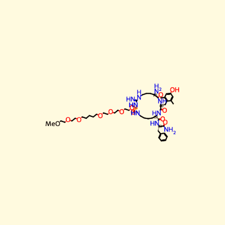 COCCOCCOCCCCCOCCOCCOCCOP1(=O)NCCCC[C@@H](C(=O)N[C@@H](Cc2ccccc2)C(N)=O)NC(=O)[C@H](Cc2c(C)cc(O)cc2C)NC(=O)[C@H](N)CCCNC(=N)N1